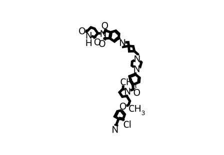 CC(CC1CCC(C)N1C(=O)c1ccc(N2CCN(CC3CC4(C3)CN(c3ccc5c(c3)C(=O)N(C3CCC(=O)NC3=O)C5=O)C4)CC2)cc1)Oc1ccc(C#N)c(Cl)c1